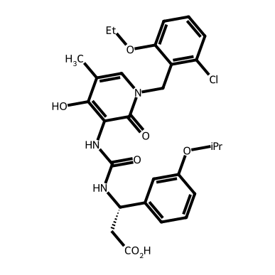 CCOc1cccc(Cl)c1Cn1cc(C)c(O)c(NC(=O)N[C@@H](CC(=O)O)c2cccc(OC(C)C)c2)c1=O